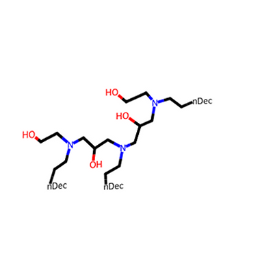 CCCCCCCCCCCCN(CCO)CC(O)CN(CCCCCCCCCCCC)CC(O)CN(CCO)CCCCCCCCCCCC